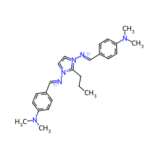 CCCc1n(/N=C/c2ccc(N(C)C)cc2)cc[n+]1/N=C/c1ccc(N(C)C)cc1